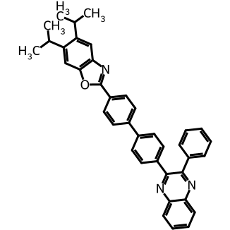 CC(C)c1cc2nc(-c3ccc(-c4ccc(-c5nc6ccccc6nc5-c5ccccc5)cc4)cc3)oc2cc1C(C)C